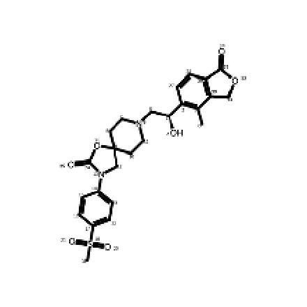 Cc1c([C@@H](O)CN2CCC3(CC2)CN(c2ccc(S(C)(=O)=O)cc2)C(=O)O3)ccc2c1COC2=O